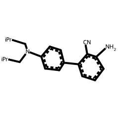 CC(C)CN(CC(C)C)c1ccc(-c2cccc(N)c2C#N)cc1